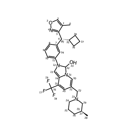 Cc1conc1[C@@H](c1cccc(N2C=C3C(C(F)(F)F)=CC(CN4CCC[C@H](C)C4)=CN3C2O)c1)C1CCC1